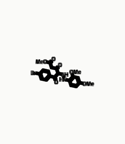 COC(=O)CC(=O)C(NNc1ccc(OC)cc1OC)C(=O)c1ccc(Br)cc1